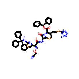 Cn1nnnc1SC=CC1=C(C(=O)OC(c2ccccc2)c2ccccc2)N2C(=O)C(NC(=O)C(=NOCC#N)c3csc(NC(c4ccccc4)(c4ccccc4)c4ccccc4)n3)C2SC1